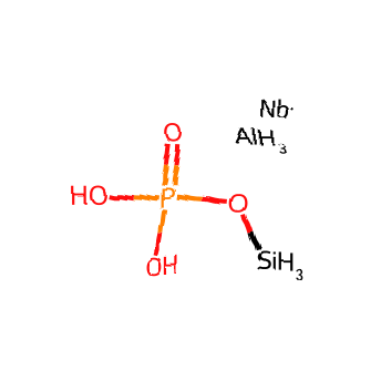 O=P(O)(O)O[SiH3].[AlH3].[Nb]